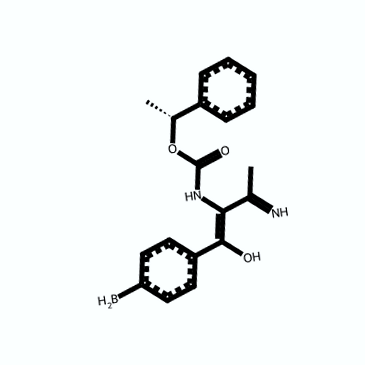 Bc1ccc(/C(O)=C(\NC(=O)O[C@H](C)c2ccccc2)C(C)=N)cc1